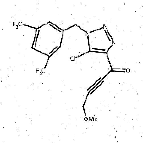 COCC#CC(=O)c1nnn(Cc2cc(C(F)(F)F)cc(C(F)(F)F)c2)c1Cl